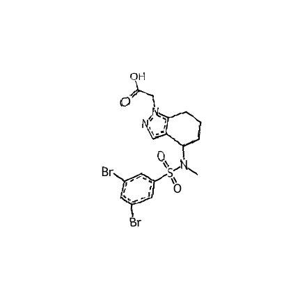 CN(C1CCCc2c1cnn2CC(=O)O)S(=O)(=O)c1cc(Br)cc(Br)c1